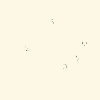 C1CCSC1.C1CCSC1.O=S=O